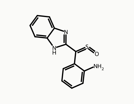 Nc1ccccc1C(=S=O)c1nc2ccccc2[nH]1